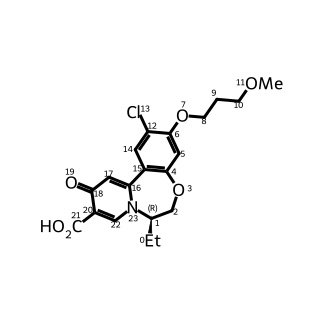 CC[C@@H]1COc2cc(OCCCOC)c(Cl)cc2-c2cc(=O)c(C(=O)O)cn21